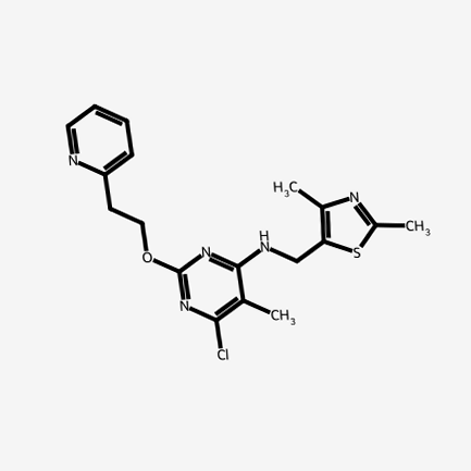 Cc1nc(C)c(CNc2nc(OCCc3ccccn3)nc(Cl)c2C)s1